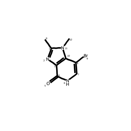 Cc1nc2c(=O)[nH]cc(Br)c2n1C